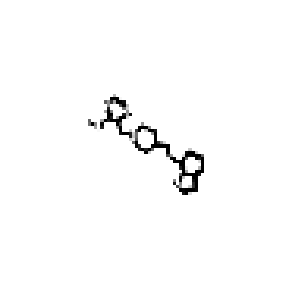 COc1nccnc1CN1CCC(CCc2cccc3ccoc23)CC1